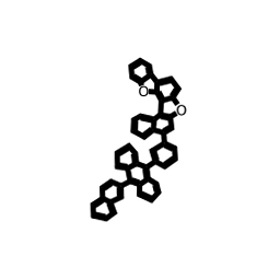 c1cc(-c2c3ccccc3c(-c3ccc4ccccc4c3)c3ccccc23)cc(-c2cc3oc4ccc5c6ccccc6oc5c4c3c3ccccc23)c1